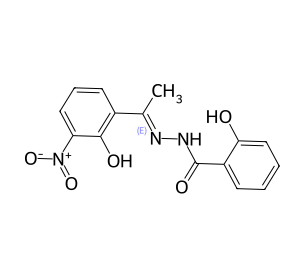 C/C(=N\NC(=O)c1ccccc1O)c1cccc([N+](=O)[O-])c1O